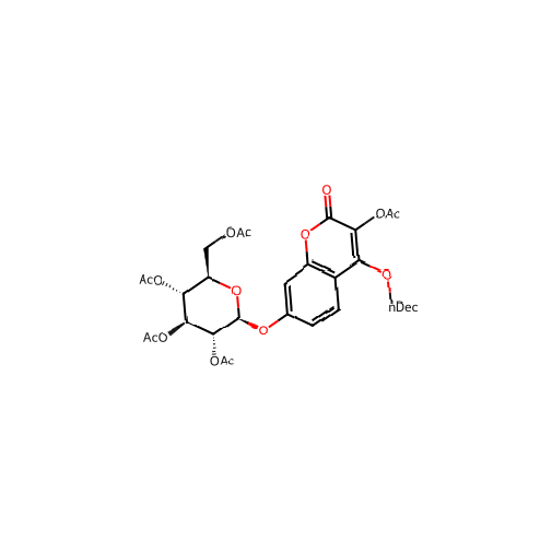 CCCCCCCCCCOc1c(OC(C)=O)c(=O)oc2cc(O[C@@H]3O[C@H](COC(C)=O)[C@@H](OC(C)=O)[C@H](OC(C)=O)[C@H]3OC(C)=O)ccc12